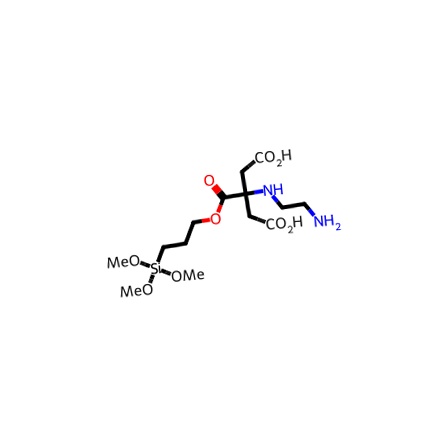 CO[Si](CCCOC(=O)C(CC(=O)O)(CC(=O)O)NCCN)(OC)OC